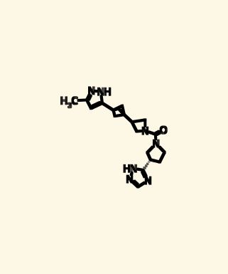 Cc1cc(C23CC(C4CN(C(=O)N5CC[C@H](c6ncn[nH]6)C5)C4)(C2)C3)[nH]n1